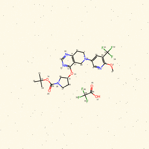 COc1ncc(N2CCc3ncnc(O[C@H]4CCN(C(=O)OC(C)(C)C)C4)c3C2)cc1C(F)(F)F.O=C(O)C(F)(F)F